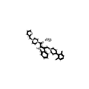 Cc1cccc(C)c1C1CCN(Cc2c(C(=O)N3CCN(CC4CCCO4)CC3)[nH]c3ccccc23)CC1.Cl.Cl